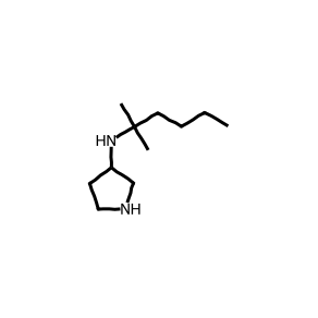 CCCCC(C)(C)NC1CCNC1